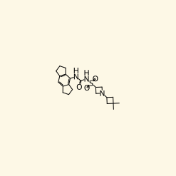 CC1(C)CC(N2CC(S(=O)(=O)NC(=O)Nc3c4c(cc5c3CCC5)CCC4)C2)C1